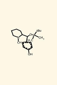 CN1CCCCC1C(O[Si](C)(C)C(C)(C)C)c1ccc(O)cc1